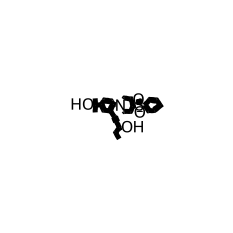 CCC(O)C#Cc1cc(C(C)(C)O)ccc1N1CCC(S(=O)(=O)c2ccccc2)CC1